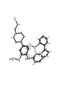 COc1cc(C2CCN(CCF)CC2)ccc1Nc1ncc2ccc(-c3ccccc3OC)n2n1